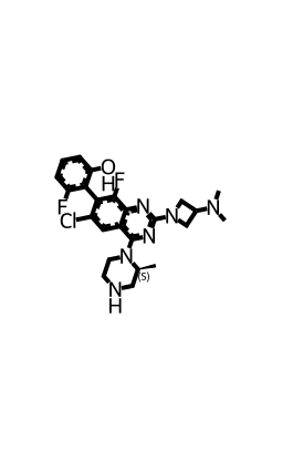 C[C@H]1CNCCN1c1nc(N2CC(N(C)C)C2)nc2c(F)c(-c3c(O)cccc3F)c(Cl)cc12